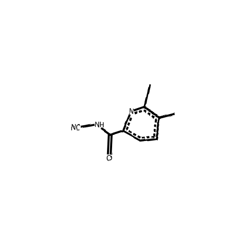 Cc1ccc(C(=O)NC#N)nc1C